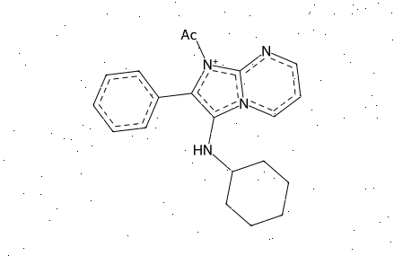 CC(=O)[n+]1c(-c2ccccc2)c(NC2CCCCC2)n2cccnc21